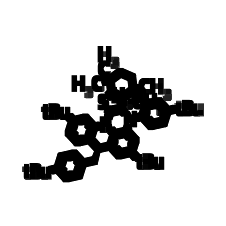 Cc1cc(C(C)(C)C)ccc1N1c2cc(C(C)(C)C)cc3c2B(c2cc(C(C)(C)C)ccc2[C@@H]3Cc2ccc(C(C)(C)C)cc2)c2sc3c(c21)C(C)(C)CCC3(C)C